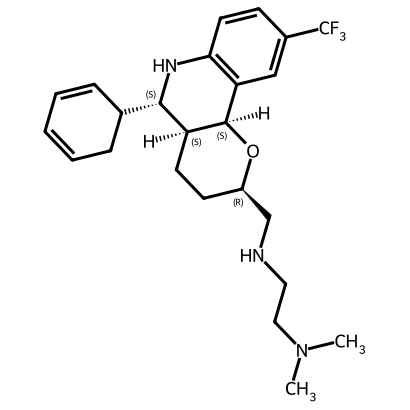 CN(C)CCNC[C@H]1CC[C@@H]2[C@H](O1)c1cc(C(F)(F)F)ccc1N[C@H]2C1C=CC=CC1